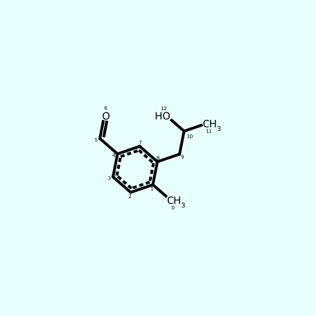 Cc1ccc(C=O)cc1CC(C)O